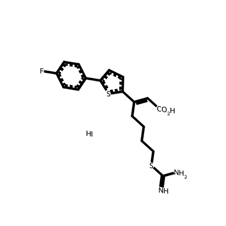 I.N=C(N)SCCCCC(=CC(=O)O)c1ccc(-c2ccc(F)cc2)s1